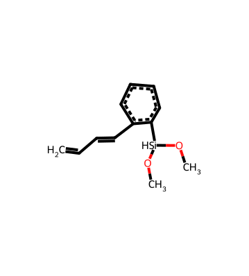 C=CC=Cc1ccccc1[SiH](OC)OC